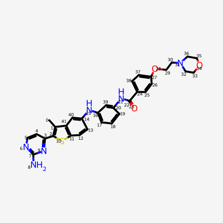 Cc1c(-c2ccnc(N)n2)sc2ccc(Nc3cccc(NC(=O)c4ccc(OCCN5CCOCC5)cc4)c3)cc12